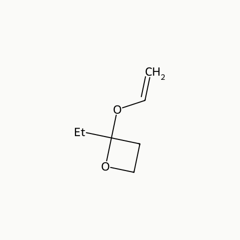 C=COC1(CC)CCO1